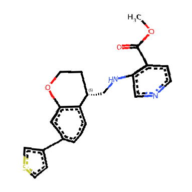 COC(=O)c1ccncc1NC[C@H]1CCOc2cc(-c3ccsc3)ccc21